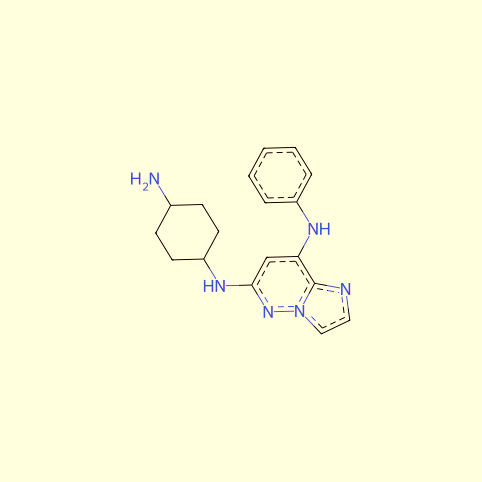 NC1CCC(Nc2cc(Nc3ccccc3)c3nccn3n2)CC1